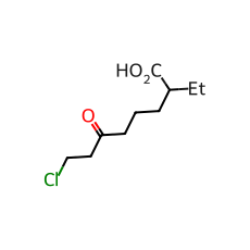 CCC(CCCC(=O)CCCl)C(=O)O